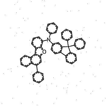 c1ccc(-c2cc3oc4c(N(c5ccccc5)c5ccc6c(c5)C(c5ccccc5)(c5ccccc5)c5ccccc5-6)cccc4c3c3ccccc23)cc1